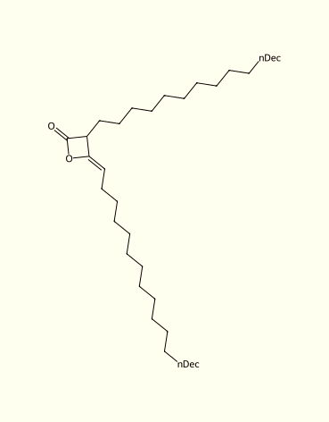 CCCCCCCCCCCCCCCCCCCCCC=C1OC(=O)C1CCCCCCCCCCCCCCCCCCCC